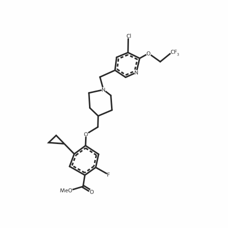 COC(=O)c1cc(C2CC2)c(OCC2CCN(Cc3cnc(OCC(F)(F)F)c(Cl)c3)CC2)cc1F